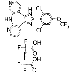 FC(F)(F)Oc1cc(Cl)c(-c2nc3c([nH]2)-c2ccncc2Nc2ncccc2-3)c(Cl)c1.O=C(O)C(F)(F)F.O=C(O)C(F)(F)F